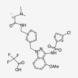 COc1cccc2c1c(NS(=O)(=O)c1ccc(Cl)s1)nn2Cc1cccc(CNC(=O)[C@H](C)N(C)C)c1.O=C(O)C(F)(F)F